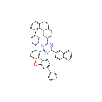 c1ccc(-c2ccc3c(c2)oc2cccc(-c4nc(-c5ccc6ccccc6c5)nc(-c5ccc6ccc7cccc(-c8ccccc8)c7c6c5)n4)c23)cc1